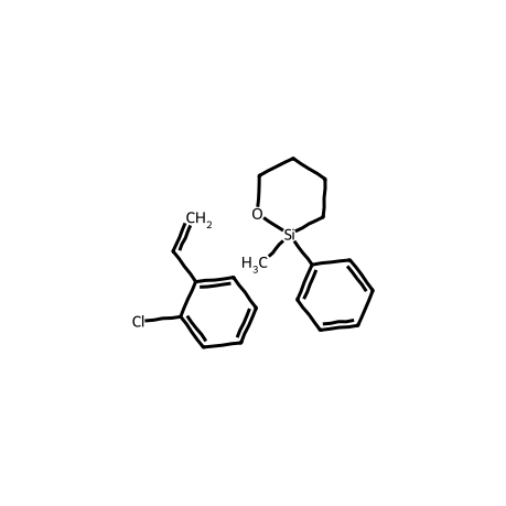 C=Cc1ccccc1Cl.C[Si]1(c2ccccc2)CCCCO1